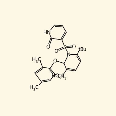 Cc1cc(C)c(OC2C(C(=O)O)=CC=C(C(C)(C)C)N2S(=O)(=O)c2ccc[nH]c2=O)c(C)c1